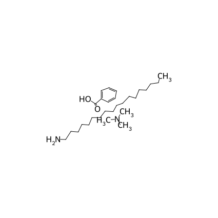 CCCCCCCCCCCCCCCCCCN.CN(C)C.O=C(O)c1ccccc1